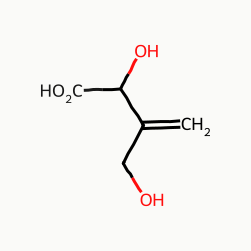 C=C(CO)C(O)C(=O)O